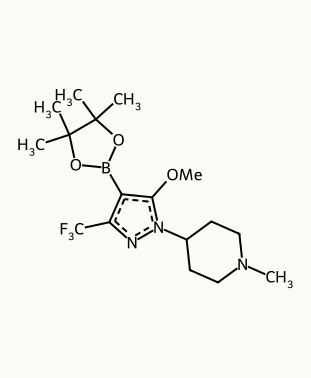 COc1c(B2OC(C)(C)C(C)(C)O2)c(C(F)(F)F)nn1C1CCN(C)CC1